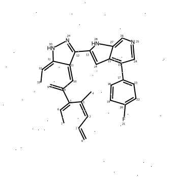 C=C/C=C(C)\C(=C/C)C(=C)/C=c1/c(-c2cc3c(-c4ccc(F)cc4)cncc3[nH]2)n[nH]/c1=C/C